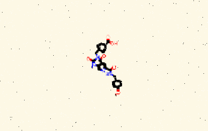 COc1ccc(CNC(=O)c2cc3c(=O)n(Cc4ccc(C(=O)O)cc4)c(=O)n(C)c3cn2)cc1